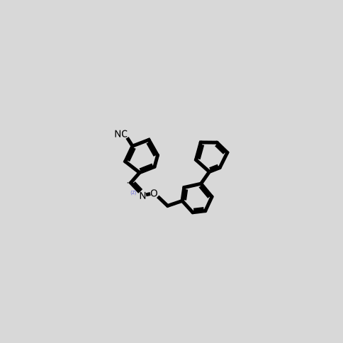 N#Cc1cccc(/[C]=N\OCc2cccc(-c3ccccc3)c2)c1